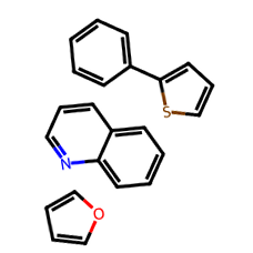 c1ccc(-c2cccs2)cc1.c1ccc2ncccc2c1.c1ccoc1